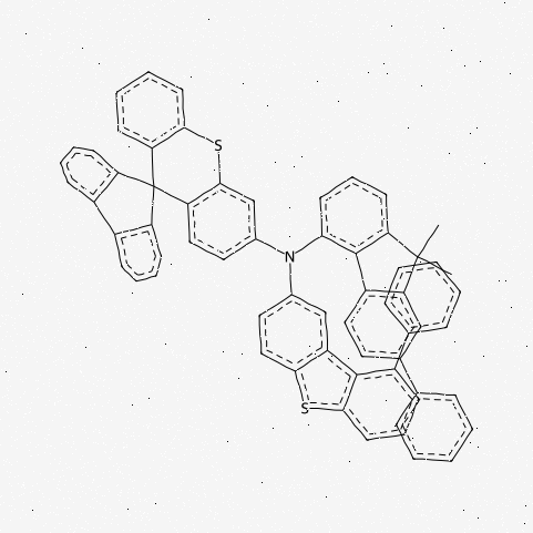 CC1(C)c2cc(-c3ccccc3)ccc2-c2c(N(c3ccc4c(c3)Sc3ccccc3C43c4ccccc4-c4ccccc43)c3ccc4sc5cccc(-c6ccccc6)c5c4c3)cccc21